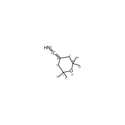 CC1(C)CC(=C=N)CC(C)(C)O1